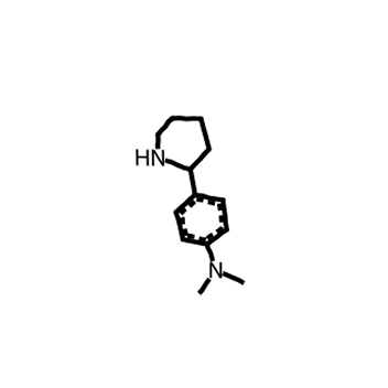 CN(C)c1ccc(C2CCCCN2)cc1